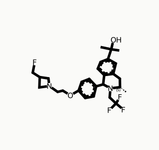 C[C@H]1Cc2cc(C(C)(C)O)ccc2C(c2ccc(OCCN3CC(CF)C3)cc2)N1CC(F)(F)F